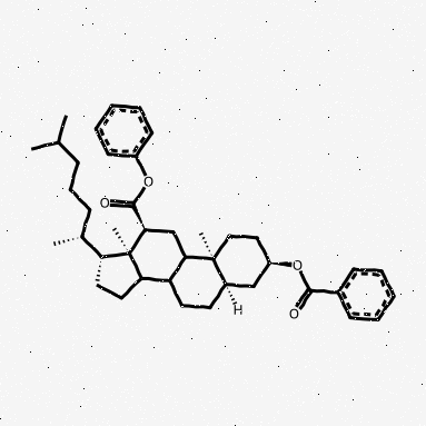 CC(C)CCC[C@@H](C)[C@H]1CCC2C3CC[C@@H]4C[C@H](OC(=O)c5ccccc5)CC[C@]4(C)C3C[C@H](C(=O)Oc3ccccc3)[C@@]21C